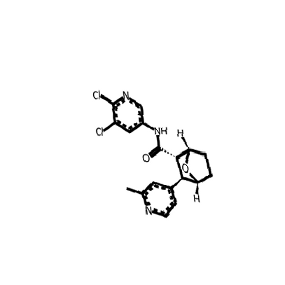 Cc1cc([C@H]2[C@H](C(=O)Nc3cnc(Cl)c(Cl)c3)[C@@H]3CC[C@H]2O3)ccn1